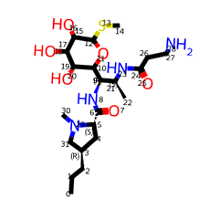 CCC[C@@H]1C[C@@H](C(=O)N[C@@H](C2OC(SC)C(O)C(O)C2O)[C@H](C)NC(=O)CCN)N(C)C1